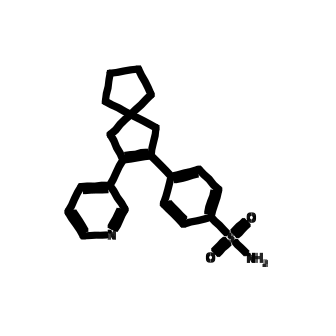 NS(=O)(=O)c1ccc(C2=C(c3cccnc3)CC3(CCCC3)C2)cc1